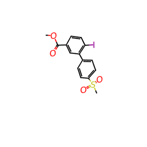 COC(=O)c1ccc(I)c(-c2ccc(S(C)(=O)=O)cc2)c1